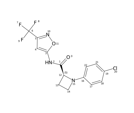 O=C(Nc1cc(C(F)(F)F)no1)[C@@H]1CCN1c1ccc(Cl)cc1